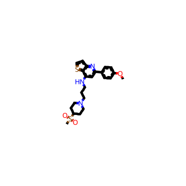 COc1ccc(-c2cc(NCCCN3CCC(S(C)(=O)=O)CC3)c3sccc3n2)cc1